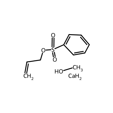 C=CCOS(=O)(=O)c1ccccc1.CO.[CaH2]